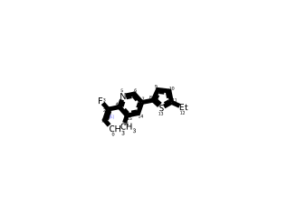 C/C=C(/F)c1ncc(-c2ccc(CC)s2)cc1C